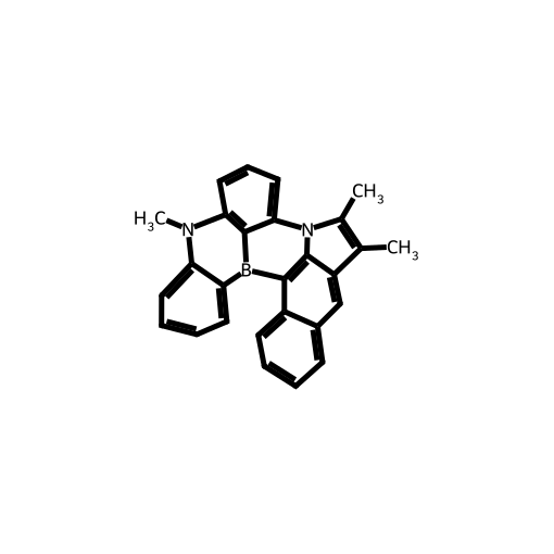 Cc1c(C)n2c3c(c4ccccc4cc13)B1c3ccccc3N(C)c3cccc-2c31